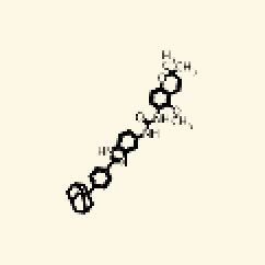 COc1c(NC(=O)Nc2ccc3[nH]c(-c4ccc(C56CC7CC(CC(C7)C5)C6)cc4)nc3c2)ccc2c1C=CC(C)(C)O2